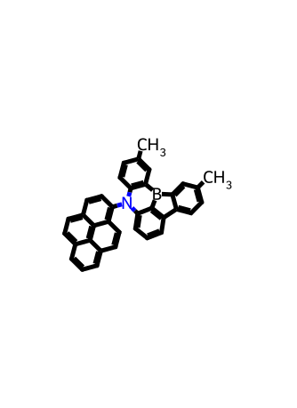 Cc1ccc2c(c1)B1c3cc(C)ccc3N(c3ccc4ccc5cccc6ccc3c4c56)c3cccc-2c31